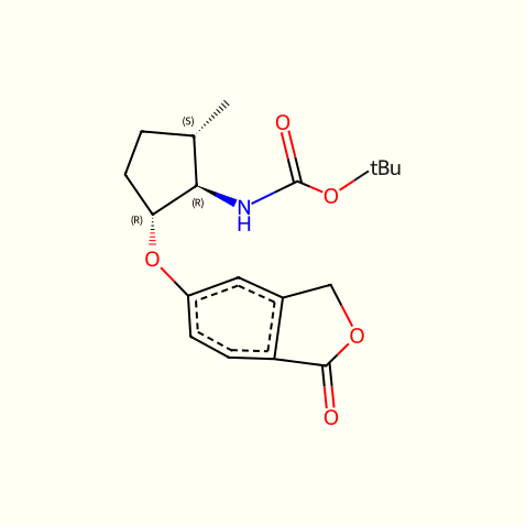 C[C@H]1CC[C@@H](Oc2ccc3c(c2)COC3=O)[C@@H]1NC(=O)OC(C)(C)C